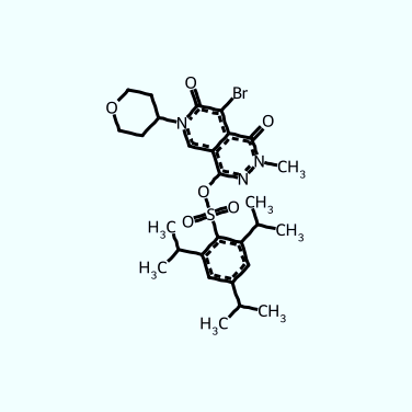 CC(C)c1cc(C(C)C)c(S(=O)(=O)Oc2nn(C)c(=O)c3c(Br)c(=O)n(C4CCOCC4)cc23)c(C(C)C)c1